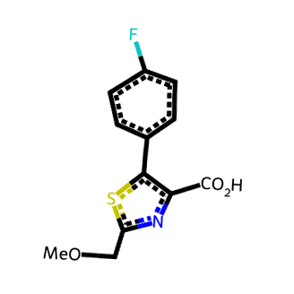 COCc1nc(C(=O)O)c(-c2ccc(F)cc2)s1